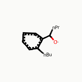 CCCCc1ccccc1C([O])CCC